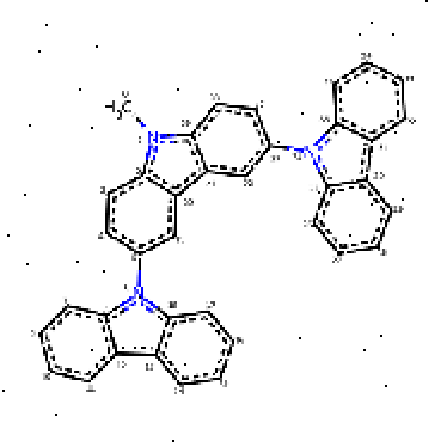 Cn1c2ccc(-n3c4ccccc4c4ccccc43)cc2c2cc(-n3c4ccccc4c4ccccc43)ccc21